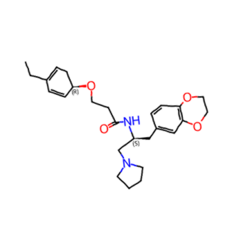 CCC1=CC[C@@H](OCCC(=O)N[C@@H](Cc2ccc3c(c2)OCCO3)CN2CCCC2)C=C1